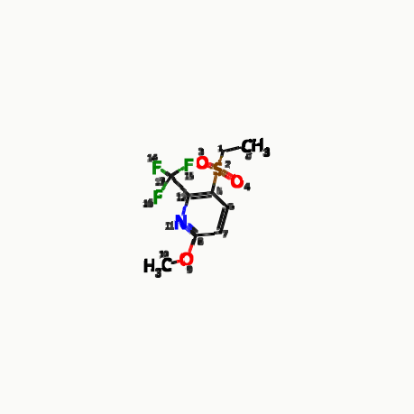 CCS(=O)(=O)c1ccc(OC)nc1C(F)(F)F